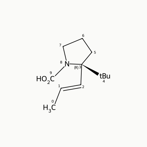 CC=C[C@@]1(C(C)(C)C)CCCN1C(=O)O